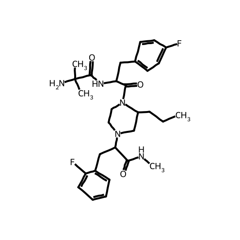 CCCC1CN(C(Cc2ccccc2F)C(=O)NC)CCN1C(=O)C(Cc1ccc(F)cc1)NC(=O)C(C)(C)N